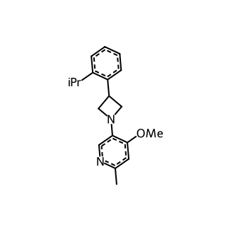 COc1cc(C)ncc1N1CC(c2ccccc2C(C)C)C1